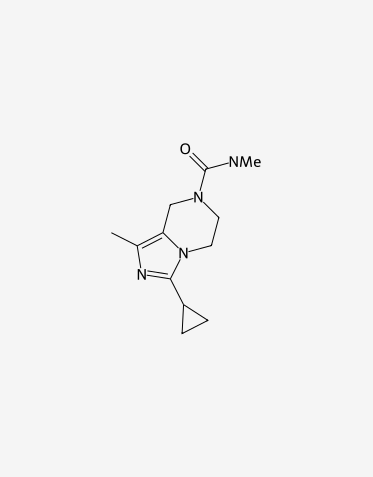 CNC(=O)N1CCn2c(C3CC3)nc(C)c2C1